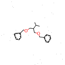 CC(C)C(COCc1ccccc1)COCc1ccccc1